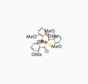 COc1cccc(OC)c1C(=O)P(=S)(C(=O)c1c(OC)cccc1OC)C(=O)c1c(OC)cccc1OC